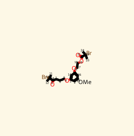 COc1cc(OCCCC(=O)C(C)(C)Br)cc(OCCOC(=O)C(C)(C)Br)c1